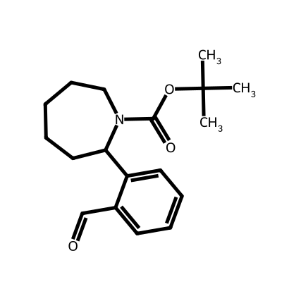 CC(C)(C)OC(=O)N1CCCCCC1c1ccccc1C=O